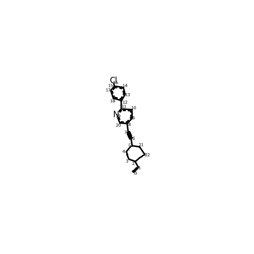 C=CC1CCC(C#Cc2ccc(-c3ccc(Cl)cc3)nc2)CC1